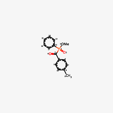 COP(=O)(C(=O)c1ccc(C)cc1)c1ccccc1